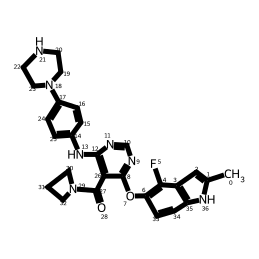 Cc1cc2c(F)c(Oc3ncnc(Nc4ccc(N5CCNCC5)cc4)c3C(=O)N3CCC3)ccc2[nH]1